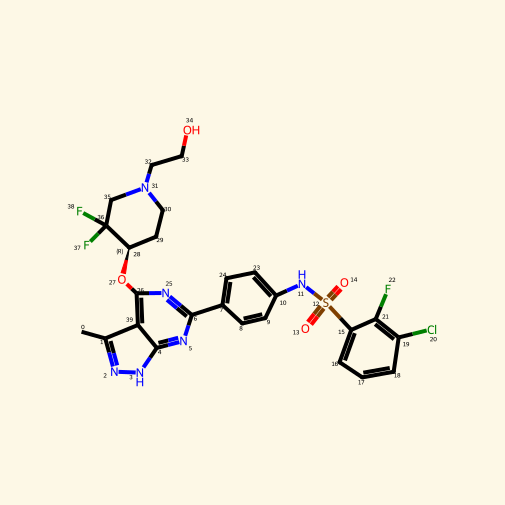 Cc1n[nH]c2nc(-c3ccc(NS(=O)(=O)c4cccc(Cl)c4F)cc3)nc(O[C@@H]3CCN(CCO)CC3(F)F)c12